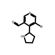 O=Cc1cncc(Br)c1C1CCCN1